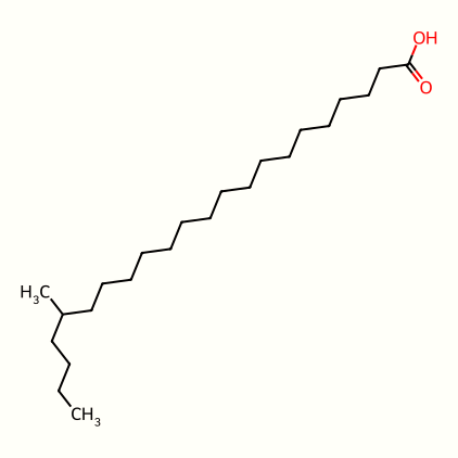 CCCCC(C)CCCCCCCCCCCCCCCCC(=O)O